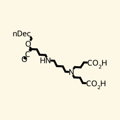 CCCCCCCCCCCOC(=C=O)CCCNCCCCN(CCCC(=O)O)CCCC(=O)O